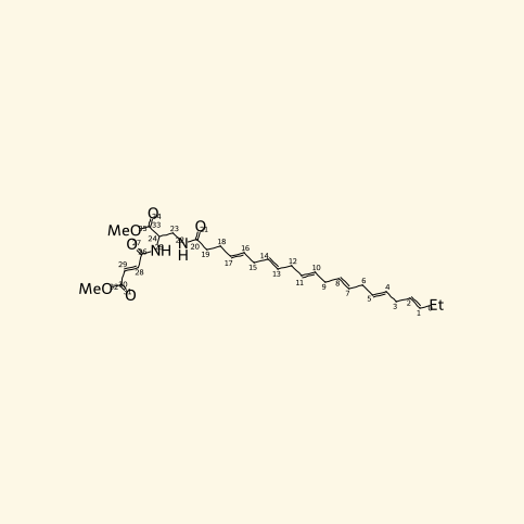 CCC=CCC=CCC=CCC=CCC=CCC=CCCC(=O)NCC(NC(=O)C=CC(=O)OC)C(=O)OC